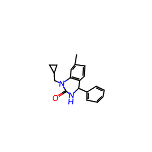 Cc1ccc2c(c1)N(CC1CC1)C(=O)NC2c1ccccc1